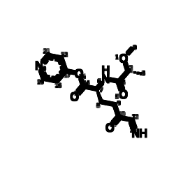 CO[C@H](C)C(=O)N[C@@H](CCC(=O)C=N)C(=O)Oc1ccncc1